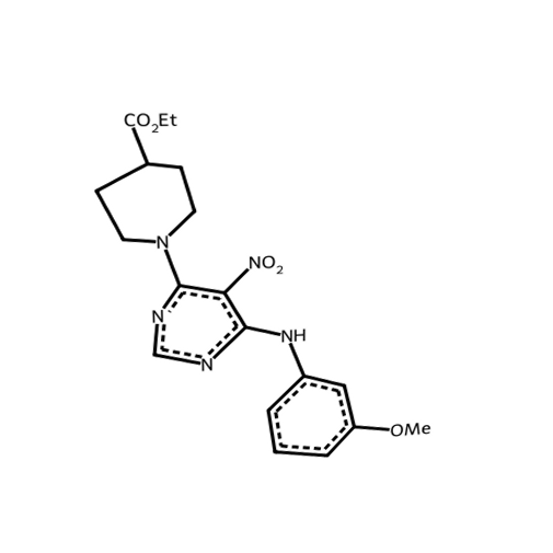 CCOC(=O)C1CCN(c2ncnc(Nc3cccc(OC)c3)c2[N+](=O)[O-])CC1